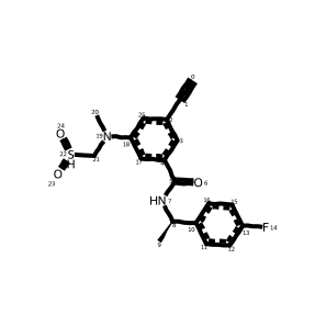 C#Cc1cc(C(=O)N[C@H](C)c2ccc(F)cc2)cc(N(C)C[SH](=O)=O)c1